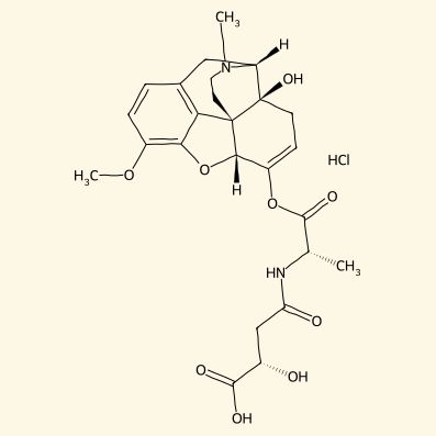 COc1ccc2c3c1O[C@H]1C(OC(=O)[C@H](C)NC(=O)C[C@H](O)C(=O)O)=CC[C@@]4(O)[C@@H](C2)N(C)CC[C@]314.Cl